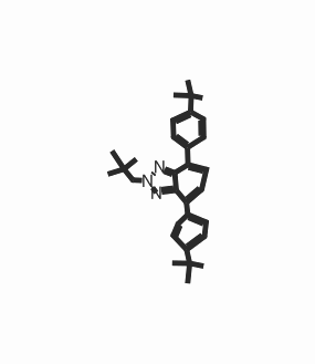 CC(C)(C)Cn1nc2c(-c3ccc(C(C)(C)C)cc3)ccc(-c3ccc(C(C)(C)C)cc3)c2n1